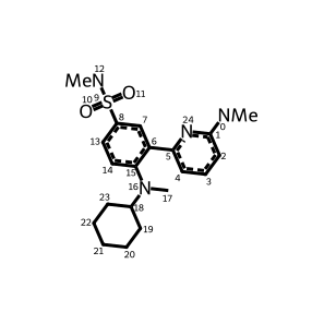 CNc1cccc(-c2cc(S(=O)(=O)NC)ccc2N(C)C2CCCCC2)n1